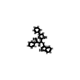 N=C(N[C@H](Cc1c[nH]c2ccccc12)c1nc(-c2ccccc2)c[nH]1)c1ccccc1